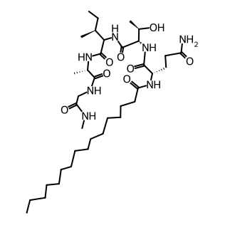 CCCCCCCCCCCCCCCC(=O)N[C@@H](CCC(N)=O)C(=O)N[C@H](C(=O)NC(C(=O)N[C@@H](C)C(=O)NCC(=O)NC)[C@@H](C)CC)[C@@H](C)O